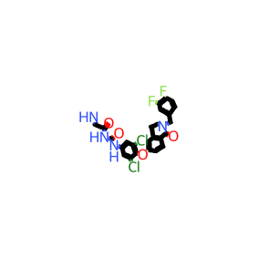 N=CC(=O)NC(=O)Nc1cc(Cl)c(Oc2ccc3c(c2)CCN(Cc2ccc(F)c(F)c2)C3=O)c(Cl)c1